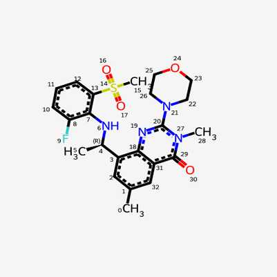 Cc1cc([C@@H](C)Nc2c(F)cccc2S(C)(=O)=O)c2nc(N3CCOCC3)n(C)c(=O)c2c1